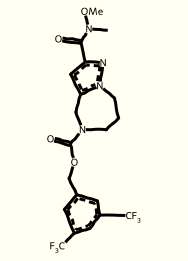 CON(C)C(=O)c1cc2n(n1)CCCN(C(=O)OCc1cc(C(F)(F)F)cc(C(F)(F)F)c1)C2